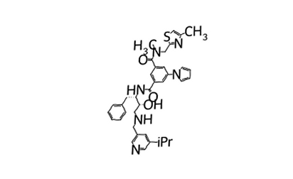 Cc1csc(CN(C)C(=O)c2cc(C(=O)N[C@@H](Cc3ccccc3)[C@H](O)CNCc3cncc(C(C)C)c3)cc(-n3cccc3)c2)n1